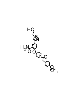 NC(=O)c1cc(-c2cn(CCO)nn2)ccc1OC1CCN(C(=O)Cc2ccc(OC(F)(F)F)cc2)CC1